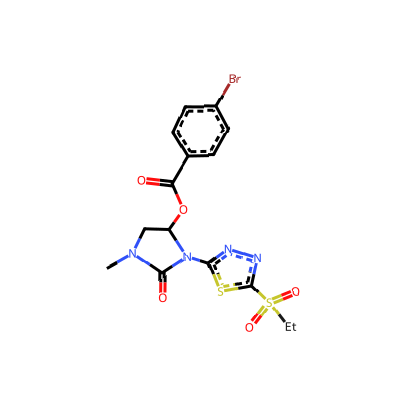 CCS(=O)(=O)c1nnc(N2C(=O)N(C)CC2OC(=O)c2ccc(Br)cc2)s1